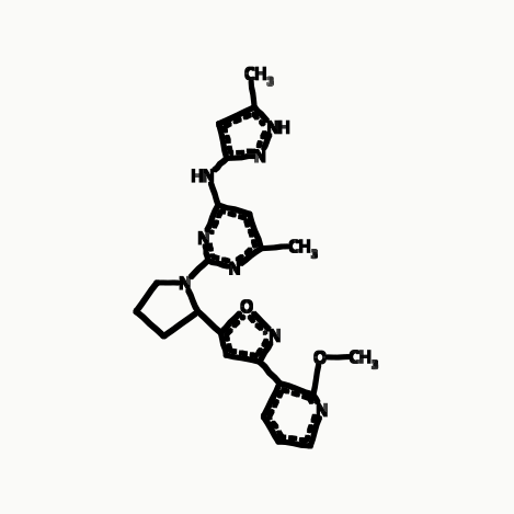 COc1ncccc1-c1cc(C2CCCN2c2nc(C)cc(Nc3cc(C)[nH]n3)n2)on1